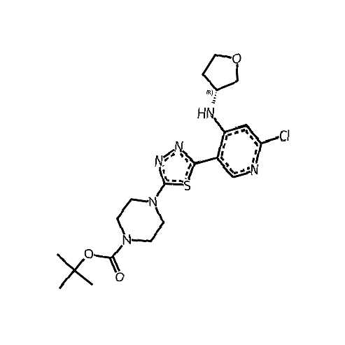 CC(C)(C)OC(=O)N1CCN(c2nnc(-c3cnc(Cl)cc3N[C@@H]3CCOC3)s2)CC1